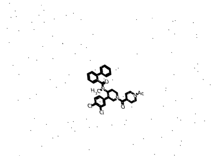 CC(=O)N1CCC(C(=O)N2CCC(N(C)C(=O)c3ccccc3-c3ccccc3)C(c3ccc(Cl)c(Cl)c3)C2)CC1